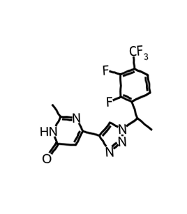 Cc1nc(-c2cn(C(C)c3ccc(C(F)(F)F)c(F)c3F)nn2)cc(=O)[nH]1